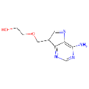 Nc1ncnc2c1N=CC2COCCO